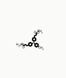 COC(=O)CCc1ccc(N(c2ccc(C)cc2)c2ccc(CCC(=O)OC)cc2)cc1